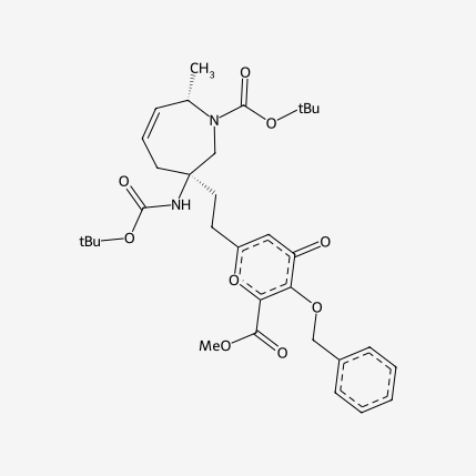 COC(=O)c1oc(CC[C@]2(NC(=O)OC(C)(C)C)CC=C[C@H](C)N(C(=O)OC(C)(C)C)C2)cc(=O)c1OCc1ccccc1